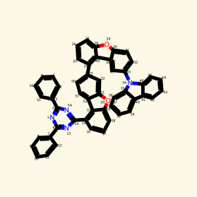 c1ccc(-c2nc(-c3ccccc3)nc(-c3cccc4oc5cc(-c6cccc7oc8ccc(-n9c%10ccccc%10c%10ccccc%109)cc8c67)ccc5c34)n2)cc1